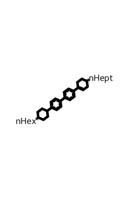 CCCCCCCC1CC=C(c2ccc(-c3ccc(C4CCC(CCCCCC)CC4)cc3)cc2)CC1